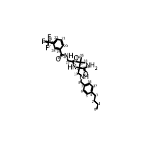 CCCCc1ccc(CNCC(NC(=O)CNC(=O)c2cccc(C(F)(F)F)c2)(C(N)=O)C(C)(C)C)cc1